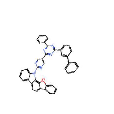 c1ccc(-c2cccc(-c3nc(-c4ccccc4)nc(-c4cnc(-n5c6ccccc6c6ccc7c8ccccc8oc7c65)nc4)n3)c2)cc1